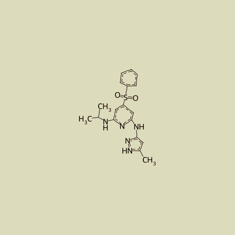 Cc1cc(Nc2cc(S(=O)(=O)c3ccccc3)cc(NC(C)C)n2)n[nH]1